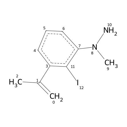 C=C(C)c1cccc(N(C)N)c1I